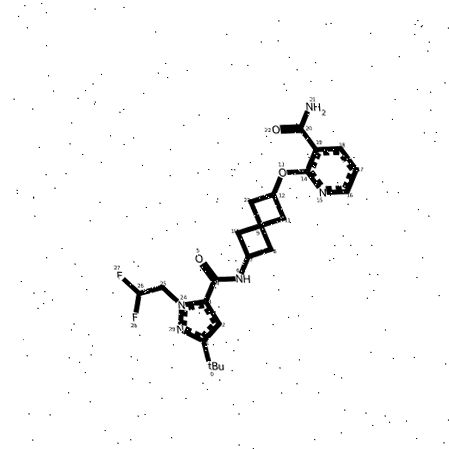 CC(C)(C)c1cc(C(=O)NC2CC3(C2)CC(Oc2ncccc2C(N)=O)C3)n(CC(F)F)n1